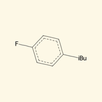 C[CH]C(C)c1ccc(F)cc1